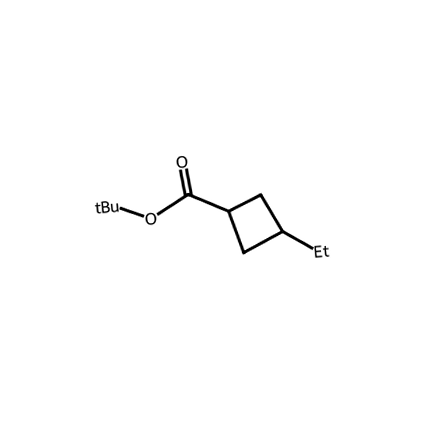 CCC1CC(C(=O)OC(C)(C)C)C1